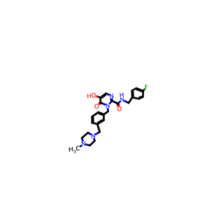 CN1CCN(Cc2cccc(Cn3c(C(=O)NCc4ccc(F)cc4)ncc(O)c3=O)c2)CC1